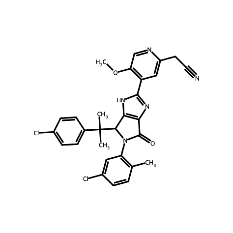 COc1cnc(CC#N)cc1-c1nc2c([nH]1)C(C(C)(C)c1ccc(Cl)cc1)N(c1cc(Cl)ccc1C)C2=O